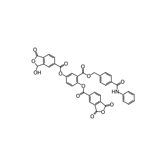 O=C(Nc1ccccc1)c1ccc(COC(=O)c2cc(OC(=O)c3ccc4c(c3)C(O)OC4=O)ccc2OC(=O)c2ccc3c(c2)C(=O)OC3=O)cc1